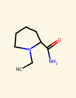 N#CCN1CCCCC1C(N)=O